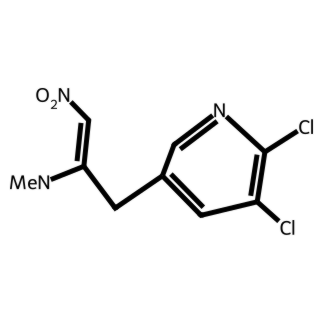 CNC(=C[N+](=O)[O-])Cc1cnc(Cl)c(Cl)c1